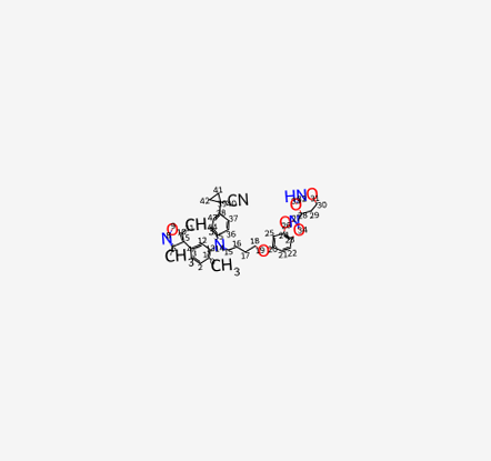 Cc1ccc(-c2c(C)noc2C)cc1N(CCCCOc1ccc2c(c1)ON(C1CCONO1)O2)c1ccc(C2(C#N)CC2)cc1